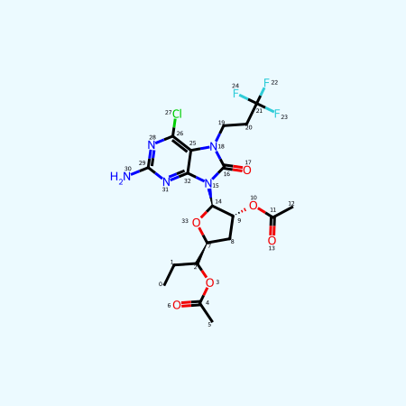 CCC(OC(C)=O)[C@@H]1C[C@@H](OC(C)=O)[C@H](n2c(=O)n(CCC(F)(F)F)c3c(Cl)nc(N)nc32)O1